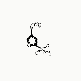 NS(=O)(=O)c1cc(C=O)co1